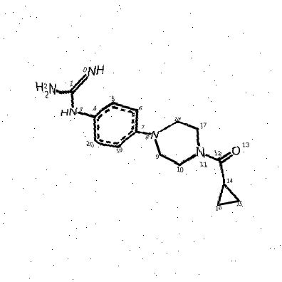 N=C(N)Nc1ccc(N2CCN(C(=O)C3CC3)CC2)cc1